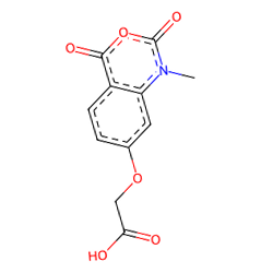 Cn1c(=O)oc(=O)c2ccc(OCC(=O)O)cc21